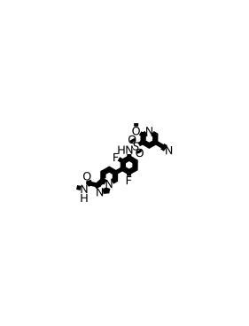 CNC(=O)c1ncn2cc(-c3c(F)ccc(NS(=O)(=O)c4cc(C#N)cnc4OC)c3F)ccc12